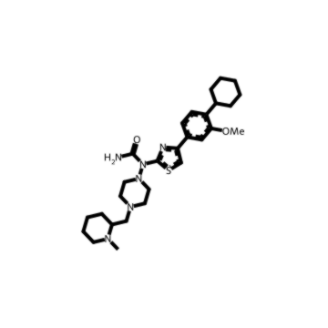 COc1cc(-c2csc(N(C(N)=O)N3CCN(CC4CCCCN4C)CC3)n2)ccc1C1CCCCC1